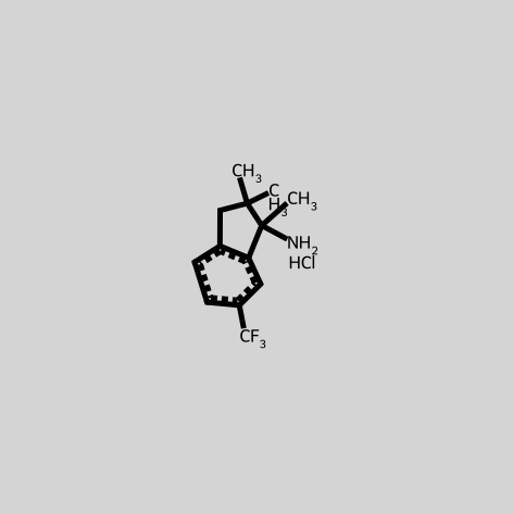 CC1(C)Cc2ccc(C(F)(F)F)cc2C1(C)N.Cl